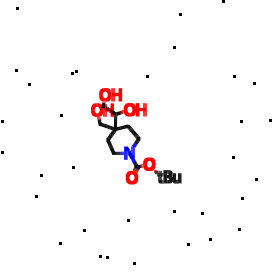 CC(C)(C)OC(=O)N1CCC(CO)(C(O)CO)CC1